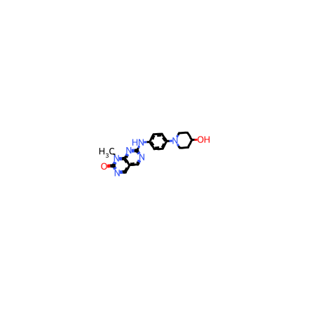 Cn1c(=O)ncc2cnc(Nc3ccc(N4CCC(O)CC4)cc3)nc21